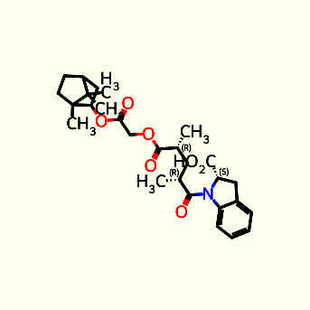 C[C@H](C[C@@H](C)C(=O)N1c2ccccc2C[C@H]1C(=O)O)C(=O)OCC(=O)OC1CC2CCC1(C)C2(C)C